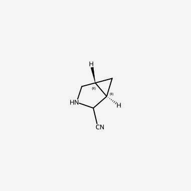 N#CC1NC[C@@H]2C[C@@H]12